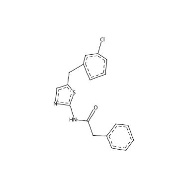 O=C(Cc1ccccc1)Nc1ncc(Cc2cccc(Cl)c2)s1